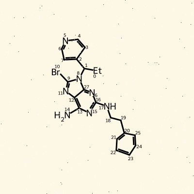 CCC(c1ccncc1)n1c(Br)nc2c(N)nc(NCCc3ccccc3)nc21